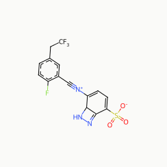 O=S(=O)([O-])C1=CC=C([N+]#Cc2cc(CC(F)(F)F)ccc2F)C2NN=C12